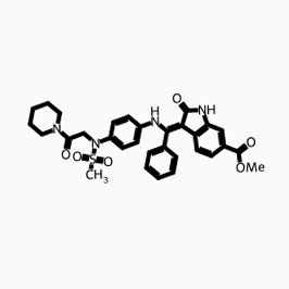 COC(=O)c1ccc2c(c1)NC(=O)/C2=C(\Nc1ccc(N(CC(=O)N2CCCCC2)S(C)(=O)=O)cc1)c1ccccc1